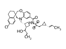 C=CC(O)[C@@H]1CC[C@H]1CN1C[C@@]2(CCCc3cc(Cl)ccc32)COc2ccc(C(=O)NS(=O)(=O)C[C@H]3C[C@@H]3/C=C/C)cc21